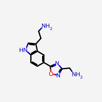 NCCc1c[nH]c2ccc(-c3nc(CN)no3)cc12